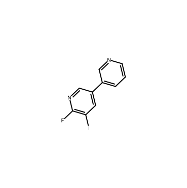 Fc1ncc(-c2cccnc2)cc1I